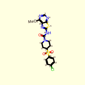 COc1ncnc2sc(NC(=O)N3CCC(S(=O)(=O)c4ccc(Cl)cc4)CC3)nc12